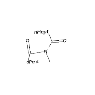 CCCCCCCC(=O)N(C)C(=O)CCCCC